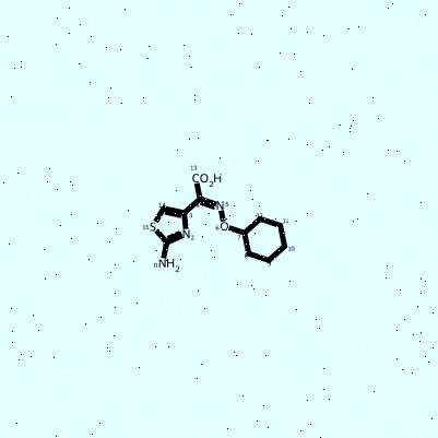 Nc1nc(C(=NOC2CCCCC2)C(=O)O)cs1